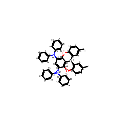 Cc1ccc2c(c1)B1c3cc(C)ccc3Oc3c(N(c4ccccc4)c4ccccc4)cc(N(c4ccccc4)c4ccccc4)c(c31)O2